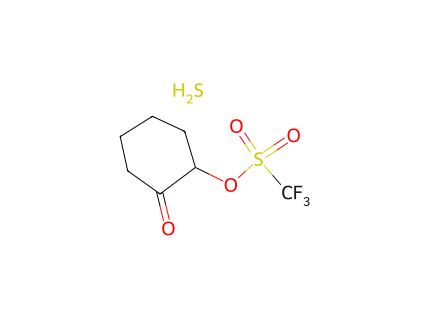 O=C1CCCCC1OS(=O)(=O)C(F)(F)F.S